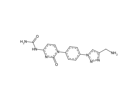 NCc1cn(-c2ccc(-n3ccc(NC(N)=O)nc3=O)cc2)nn1